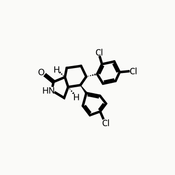 O=C1NC[C@@H]2[C@H](c3ccc(Cl)cc3)[C@@H](c3ccc(Cl)cc3Cl)CC[C@H]12